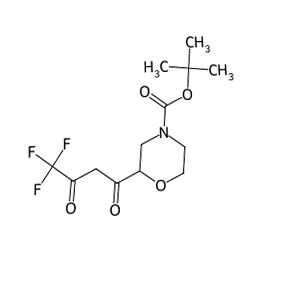 CC(C)(C)OC(=O)N1CCOC(C(=O)CC(=O)C(F)(F)F)C1